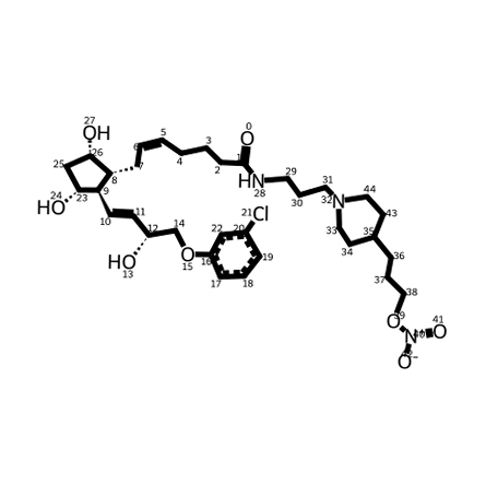 O=C(CCC/C=C\C[C@@H]1[C@@H](/C=C/[C@@H](O)COc2cccc(Cl)c2)[C@H](O)C[C@@H]1O)NCCCN1CCC(CCCO[N+](=O)[O-])CC1